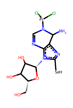 NC1c2nc([SeH])n([C@@H]3O[C@H](CO)C(O)C3O)c2N=C[N]1[Pt]([Cl])[Cl]